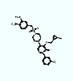 COc1cc(CS(=O)(=O)N2CCN(c3cnn(-c4cccc(Cl)c4)c(=O)c3OCC3CC3C)CC2)ccc1[N+](=O)[O-]